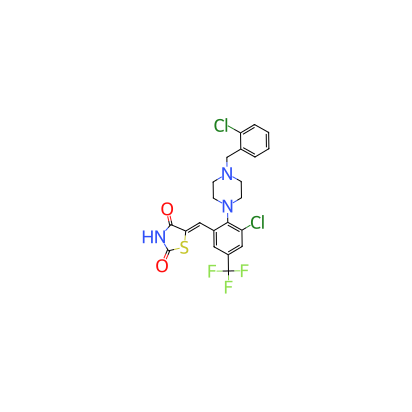 O=C1NC(=O)/C(=C/c2cc(C(F)(F)F)cc(Cl)c2N2CCN(Cc3ccccc3Cl)CC2)S1